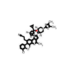 Cc1nc(N2C[C@@H]3C[C@H](C2)N(C(=O)C2CC2)[C@H]3c2cc3c(C)nc4c(F)c(-c5cccc(Cl)c5Cl)c(CCC#N)cc4c3n2[C@H]2[C@H]3CN[C@@H]2C3)sc1C